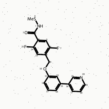 CSNC(=O)c1cc(F)c(COc2cccc(-c3cccnc3)c2)cc1F